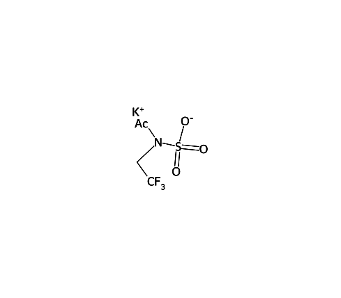 CC(=O)N(CC(F)(F)F)S(=O)(=O)[O-].[K+]